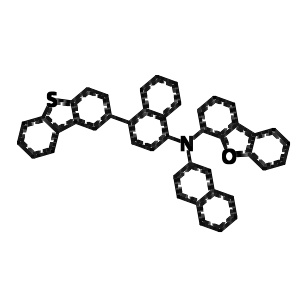 c1ccc2cc(N(c3ccc(-c4ccc5sc6ccccc6c5c4)c4ccccc34)c3cccc4c3oc3ccccc34)ccc2c1